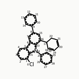 Clc1cccc2c3cc(-c4ccccc4)cc(C4C=CC=CC4)c3n(-c3ccccc3)c12